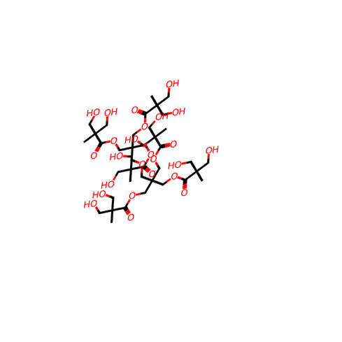 CC(CO)(CO)C(=O)OCC(COCC(COC(=O)C(C)(CO)CO)(COC(=O)C(C)(CO)CO)COC(=O)C(C)(CO)CO)(COC(=O)C(C)(CO)CO)COC(=O)C(C)(CO)CO